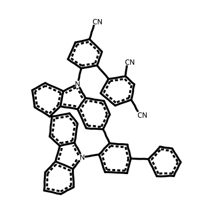 N#Cc1ccc(-c2cc(C#N)ccc2-n2c3ccccc3c3cc(-c4cc(-c5ccccc5)ccc4-n4c5ccccc5c5ccccc54)ccc32)c(C#N)c1